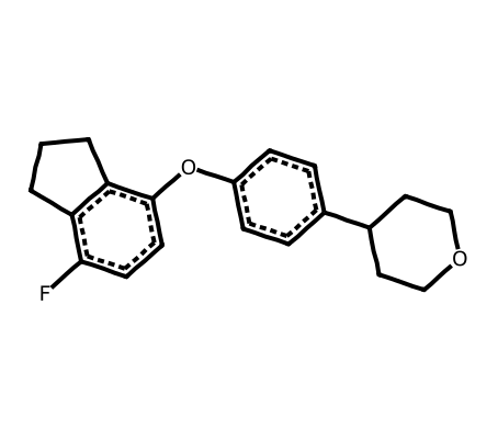 Fc1ccc(Oc2ccc(C3CCOCC3)cc2)c2c1CCC2